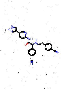 Cn1cc(-c2ccc(NC(=O)[C@@H](NCCc3ccc(C#N)cc3)c3ccc(C#N)cc3)nc2)cn1